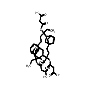 CCC(CCC12C=CC(C1)C(C(CC)(CCC13C=CC(CC1)C(C(CC)(CC)OC(=O)CC(=O)O)C3)OC(=O)CC(=O)O)C2)(OC(=O)CC(=O)O)C1CC=CCC1